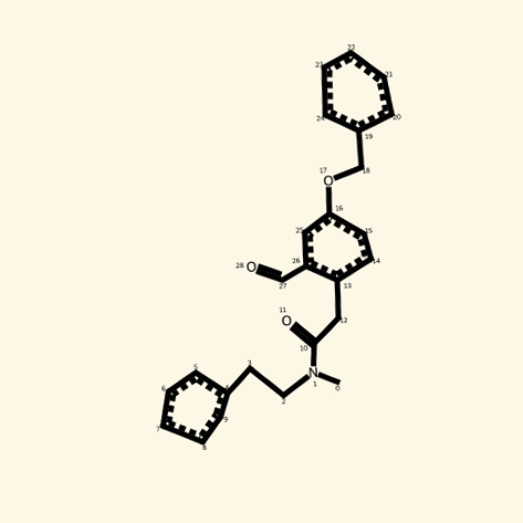 CN(CCc1ccccc1)C(=O)Cc1ccc(OCc2ccccc2)cc1C=O